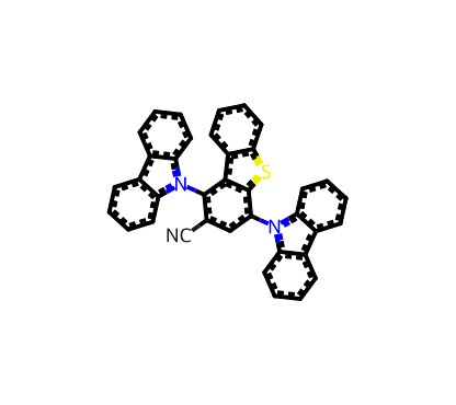 N#Cc1cc(-n2c3ccccc3c3ccccc32)c2sc3ccccc3c2c1-n1c2ccccc2c2ccccc21